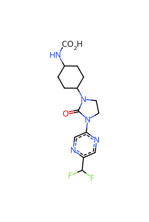 O=C(O)NC1CCC(N2CCN(c3cnc(C(F)F)cn3)C2=O)CC1